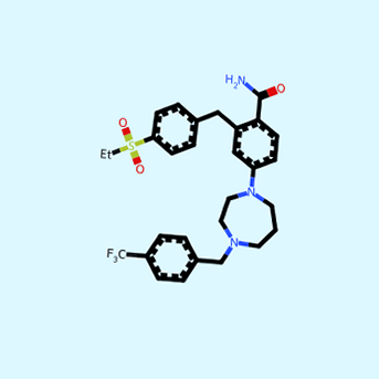 CCS(=O)(=O)c1ccc(Cc2cc(N3CCCN(Cc4ccc(C(F)(F)F)cc4)CC3)ccc2C(N)=O)cc1